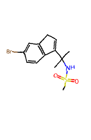 CC(C)(NS(C)(=O)=O)C1=CCc2cc(Br)ccc21